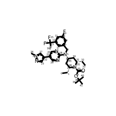 CC[C@@H]1C[C@H](N(Cc2cc(F)cc(C(F)(F)F)c2)c2ncc(-c3cnn(C)c3)cn2)C[C@H](CC)N1C(=O)OC(C)(C)C